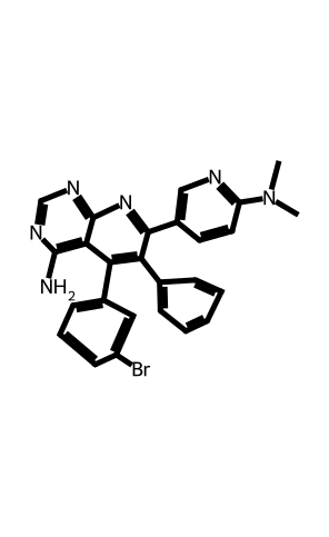 CN(C)c1ccc(-c2nc3ncnc(N)c3c(-c3cccc(Br)c3)c2-c2ccccc2)cn1